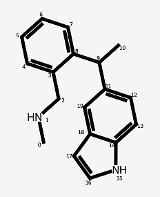 CNCc1ccccc1C(C)c1ccc2[nH]ccc2c1